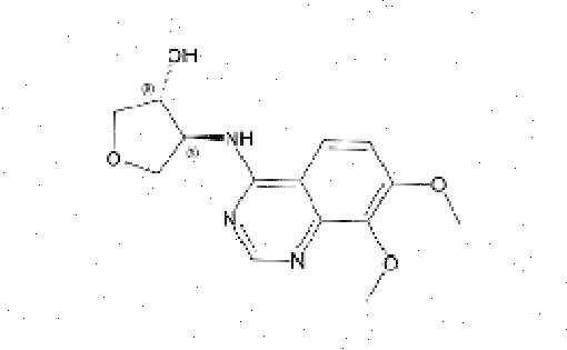 COc1ccc2c(N[C@H]3COC[C@@H]3O)ncnc2c1OC